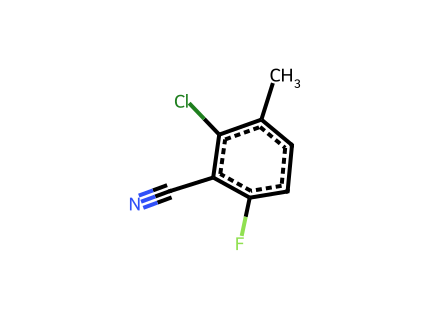 Cc1ccc(F)c(C#N)c1Cl